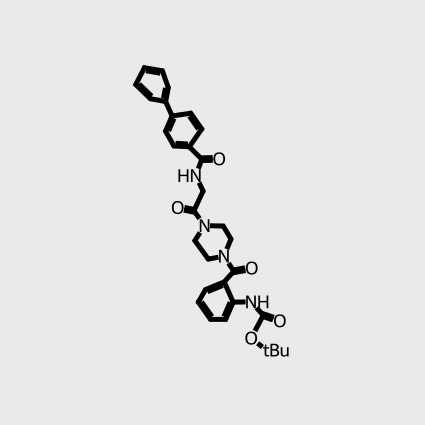 CC(C)(C)OC(=O)Nc1ccccc1C(=O)N1CCN(C(=O)CNC(=O)c2ccc(-c3ccccc3)cc2)CC1